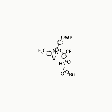 CCOc1ccc(C(F)(F)F)cc1-n1cc(-c2ccc(OC)cc2)c(Oc2ccc(C(=O)NCCC(=O)OC(C)(C)C)cc2C(F)(F)F)n1